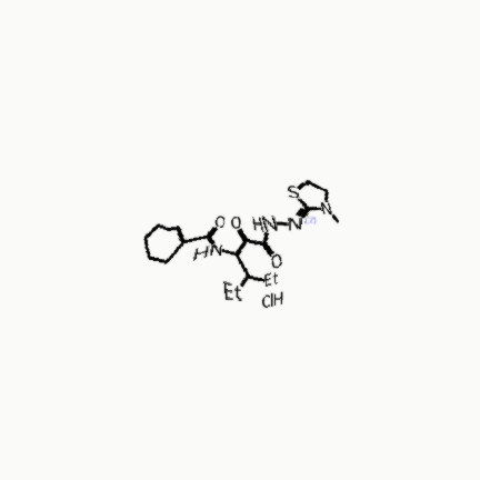 CCC(CC)C(NC(=O)C1CCCCC1)C(=O)C(=O)N/N=C1\SCCN1C.Cl